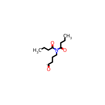 CCCC(=O)N(CCC[C]=O)C(=O)CCC